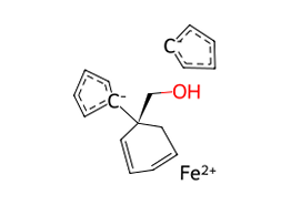 OC[C@]1([c-]2cccc2)C=CC=CC1.[Fe+2].c1cc[cH-]c1